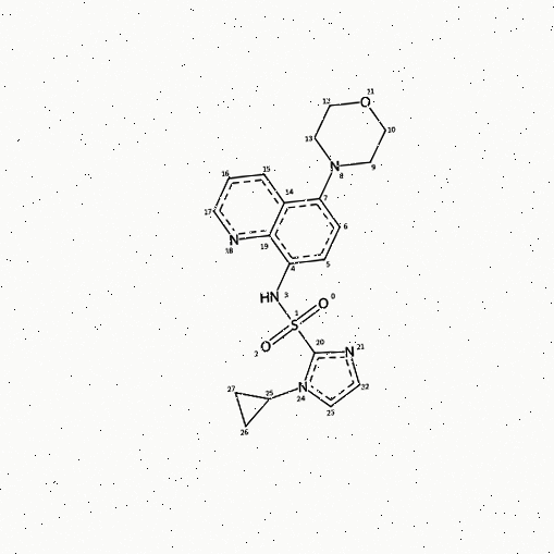 O=S(=O)(Nc1ccc(N2CCOCC2)c2cccnc12)c1nccn1C1CC1